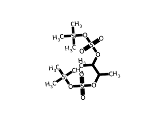 CC(OS(=O)(=O)O[Si](C)(C)C)C(C)OS(=O)(=O)O[Si](C)(C)C